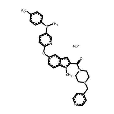 Br.CN(c1ccc(C(F)(F)F)cc1)c1ccc(Oc2ccc3c(c2)cc(C(=O)N2CCN(Cc4ccncc4)CC2)n3C)nc1